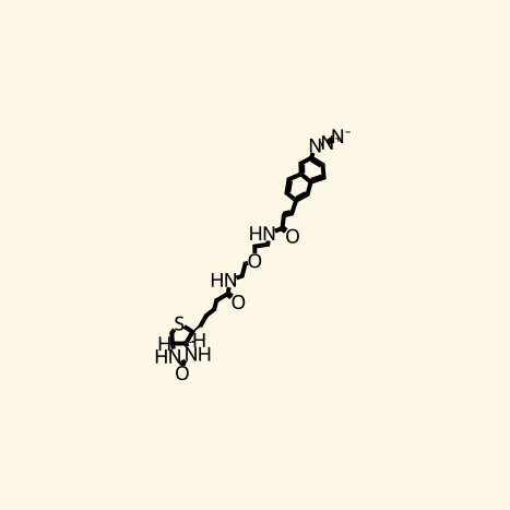 [N-]=[N+]=Nc1ccc2cc(/C=C/C(=O)NCCOCCNC(=O)CCCC[C@@H]3SC[C@@H]4NC(=O)N[C@@H]43)ccc2c1